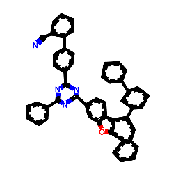 N#Cc1ccccc1-c1ccc(-c2nc(-c3ccccc3)nc(-c3ccc4c(c3)oc3c5ccccc5cc(-c5cccc(-c6ccccc6)c5)c43)n2)cc1